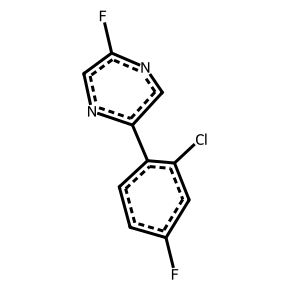 Fc1ccc(-c2cnc(F)cn2)c(Cl)c1